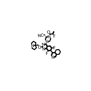 C=C(F)C(=O)N1CCN(c2nc(OCC34CCCN3CCC4)nc3c(F)c(-c4cncc5c4CCCC5)c(F)cc23)C[C@@H]1CC#N